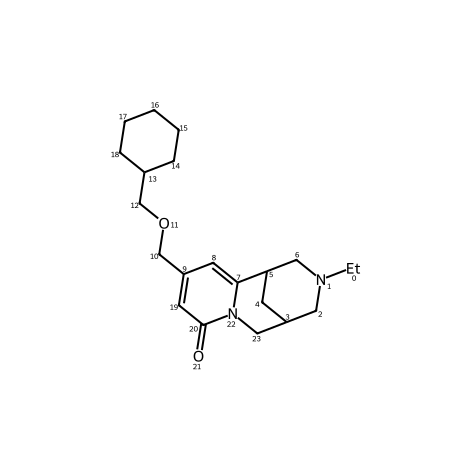 CCN1CC2CC(C1)c1cc(COCC3CCCCC3)cc(=O)n1C2